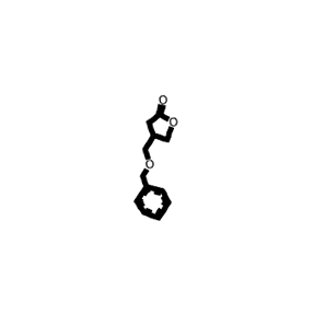 O=C1CC(COCc2ccccc2)CO1